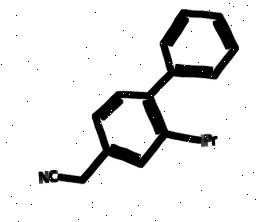 CC(C)c1cc(CC#N)ccc1-c1ccccc1